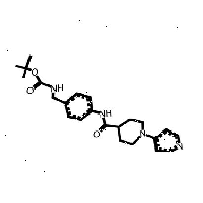 CC(C)(C)OC(=O)NCc1ccc(NC(=O)C2CCN(c3ccncc3)CC2)cc1